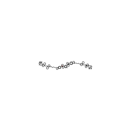 Cc1cc(OC(=O)c2ccc(OCCCCCCOC(=O)CCC(=O)OC3CC(C)(C)N(C)C(C)(C)C3)cc2)ccc1OC(=O)c1ccc(OCCCCCCOC(=O)CCC(=O)OC2CC(C)(C)N(C)C(C)(C)C2)cc1